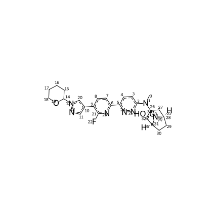 CN(c1ccc(-c2ccc(-c3cnn(C4CCCCO4)c3)c(F)n2)nn1)C1C[C@H]2CC[C@@H](C1)N2C(=O)O